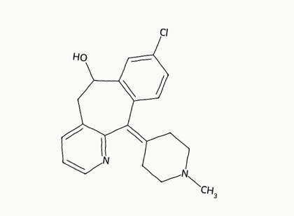 CN1CCC(=C2c3ccc(Cl)cc3C(O)Cc3cccnc32)CC1